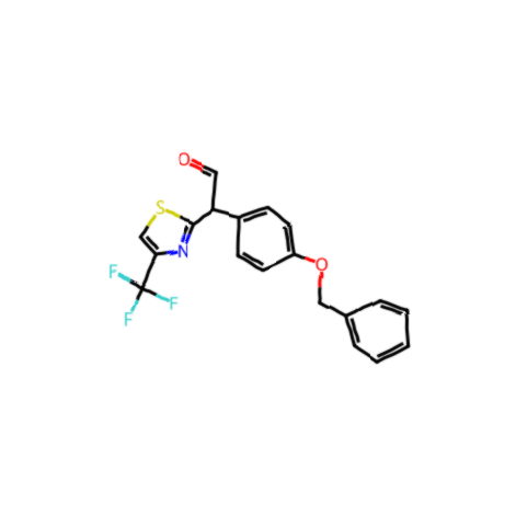 O=CC(c1ccc(OCc2ccccc2)cc1)c1nc(C(F)(F)F)cs1